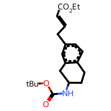 CCOC(=O)C=CCc1ccc2c(c1)CC(NC(=O)OC(C)(C)C)CC2